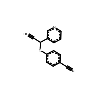 C#CC(Oc1ccc(C#N)cc1)c1cccnc1